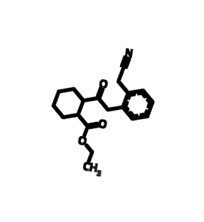 CCOC(=O)C1CCCCC1C(=O)Cc1ccccc1CC#N